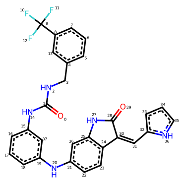 O=C(NCc1cccc(C(F)(F)F)c1)Nc1cccc(Nc2ccc3c(c2)NC(=O)/C3=C\c2ccc[nH]2)c1